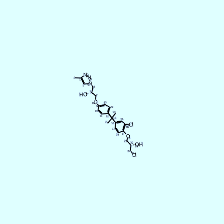 Cc1cn(C[C@@H](O)COc2ccc(C(C)(C)c3ccc(OC[C@H](O)CCl)c(Cl)c3)cc2)nn1